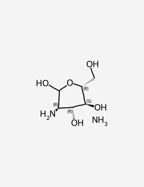 N.N[C@H]1C(O)O[C@H](CO)[C@@H](O)[C@@H]1O